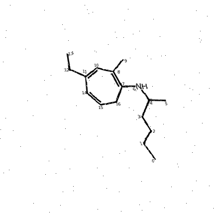 CCCCC(C)NC1=C(C)C=C(CC)C=CC1